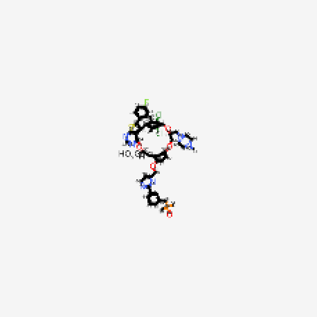 Cc1c(Cl)c2c(Cl)c(C)c1-c1c(-c3ccc(F)cc3)sc3ncnc(c13)O[C@@H](C(=O)O)Cc1cc(ccc1OCc1ccnc(-c3cccc(CP(C)(C)=O)c3)n1)OCC(CN1CCN(C)CC1)O2